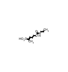 C=CCNC(=O)OCCC=C(C)C(=O)O